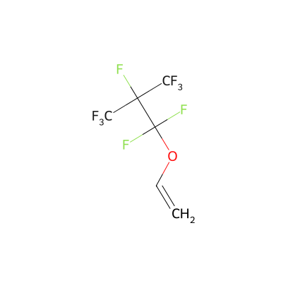 C=COC(F)(F)C(F)(C(F)(F)F)C(F)(F)F